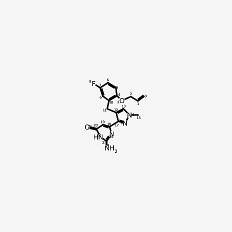 C=CCOc1ccc(F)cc1Cc1cn(C)nc1-c1cc(=O)[nH]c(N)n1